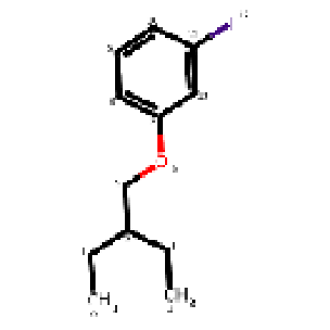 CCC(CC)COc1cccc(I)c1